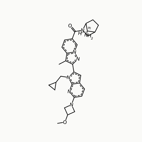 COC1CN(c2ccc3cc(-c4nn5cc(C(=O)N6CC7CCC6[C@@H]7N)ccc5c4C)n(CC4CC4)c3n2)C1